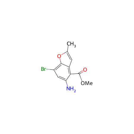 COC(=O)c1c(N)cc(Br)c2oc(C)cc12